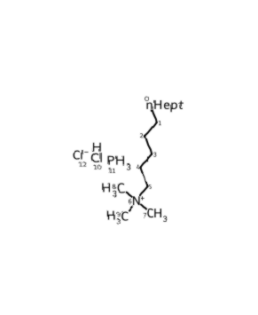 CCCCCCCCCCCC[N+](C)(C)C.Cl.P.[Cl-]